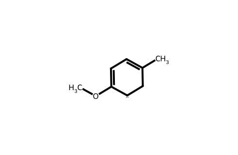 COC1=CC=C(C)C[C]1